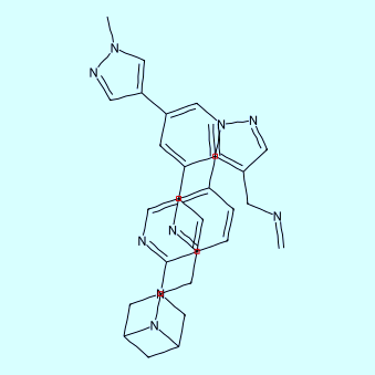 C#Cc1ccc(CCN2C3CC2CN(c2ccc(-c4cc(-c5cnn(C)c5)cn5ncc(CN=C)c45)cn2)C3)nc1